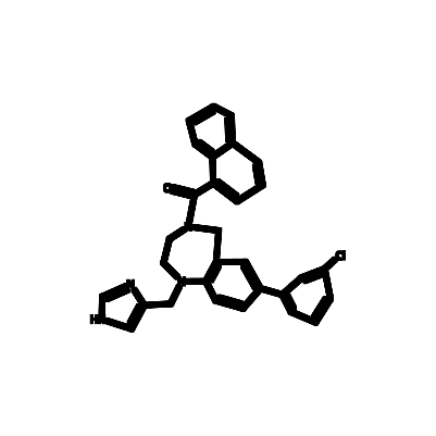 O=C(c1cccc2ccccc12)N1CCN(Cc2c[nH]cn2)c2ccc(-c3cccc(Cl)c3)cc2C1